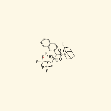 O=S(=O)(CC(C(F)(F)F)(C(F)(F)F)C(F)(F)F)C(c1ccc2ccccc2c1)S(=O)(=O)C12CC3CC(CC(F)(C3)C1)C2